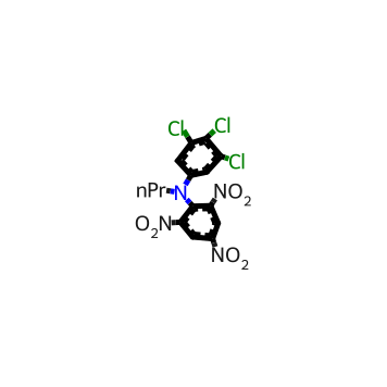 CCCN(c1cc(Cl)c(Cl)c(Cl)c1)c1c([N+](=O)[O-])cc([N+](=O)[O-])cc1[N+](=O)[O-]